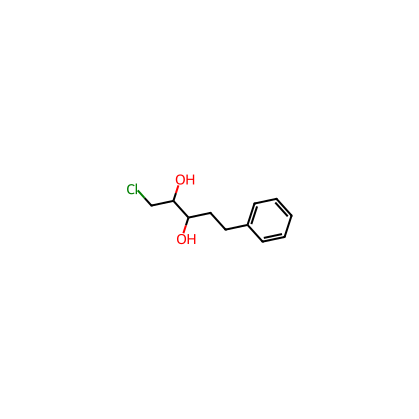 OC(CCl)C(O)CCc1ccccc1